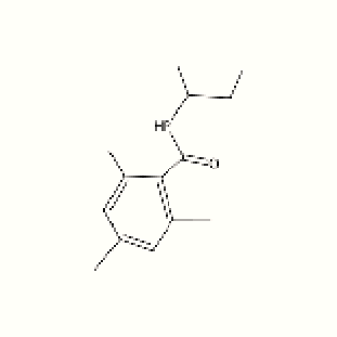 CCC(C)PC(=O)c1c(C)cc(C)cc1C